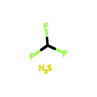 FC(F)F.S